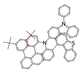 CC(C)(C)c1cc(-c2cccc3cccc(-c4ccccc4N(c4ccc5c(c4)c4ccccc4n5-c4ccccc4)c4ccccc4-c4cccc5sc6ccccc6c45)c23)cc(C(C)(C)C)c1